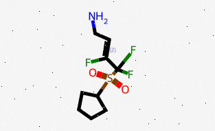 NC/C=C(\F)C(F)(F)S(=O)(=O)C1CCCC1